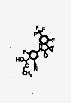 CCOC(O)c1c(F)cc(NC(=O)C2(c3ccc(C(F)(F)F)cc3F)CC2)cc1C#N